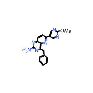 COc1ncc(-c2ccc3nc(N)nc(Cc4ccccc4)c3n2)cn1